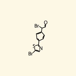 O=CC(Br)c1ccc(-c2ncc(Br)s2)cc1